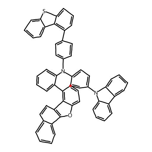 c1ccc(N(c2ccc(-c3cccc4sc5ccccc5c34)cc2)c2ccc(-n3c4ccccc4c4ccccc43)cc2)c(-c2cccc3oc4c5ccccc5ccc4c23)c1